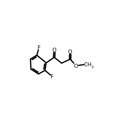 COC(=O)CC(=O)c1c(F)cccc1F